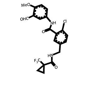 COc1ccc(NC(=O)c2cc(CNC(=O)C3(C(F)(F)F)CC3)ccc2Cl)cc1C=O